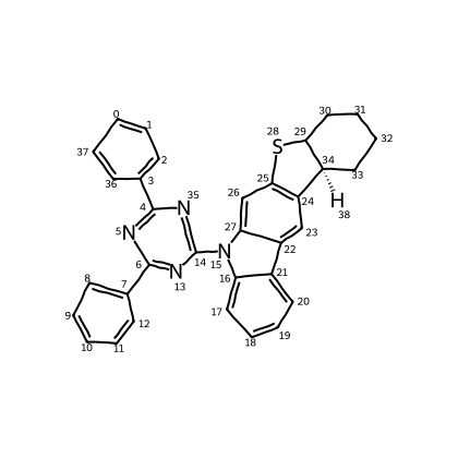 c1ccc(-c2nc(-c3ccccc3)nc(-n3c4ccccc4c4cc5c(cc43)SC3CCCC[C@@H]53)n2)cc1